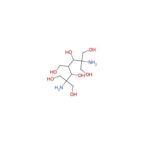 NC(CO)(CO)C(O)C(CO)C(O)C(N)(CO)CO